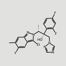 CCc1c2cc(F)c(C)cc2nn1[C@H](C)[C@](O)(Cn1cncn1)c1ccc(F)cc1F